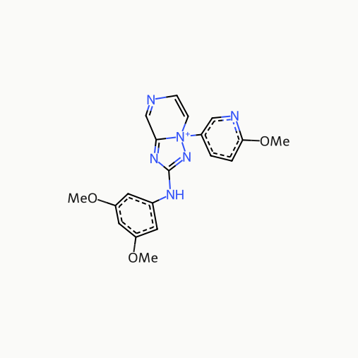 COc1cc(NC2=N[N+]3(c4ccc(OC)nc4)C=CN=CC3=N2)cc(OC)c1